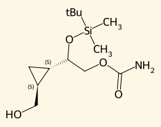 CC(C)(C)[Si](C)(C)OC(COC(N)=O)[C@H]1C[C@@H]1CO